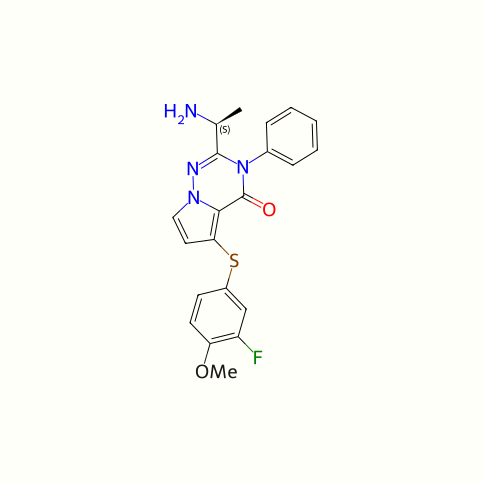 COc1ccc(Sc2ccn3nc([C@H](C)N)n(-c4ccccc4)c(=O)c23)cc1F